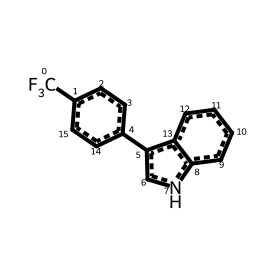 FC(F)(F)c1ccc(-c2c[nH]c3ccccc23)cc1